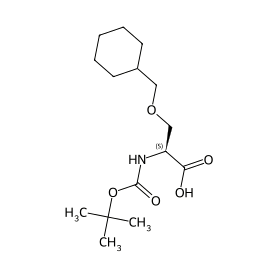 CC(C)(C)OC(=O)N[C@@H](COCC1CCCCC1)C(=O)O